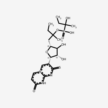 CCC(C)(C[C@H]1O[C@@H](c2cn3ccc(=O)[nH]c3nc2=S)[C@@H](O)C1O)OP(=O)(O)C(C)(O)CC